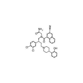 N#Cc1cc(C(=O)N(CC(N)=O)C[C@@H](CCN2CCC(c3ccccc3O)CC2)c2ccc(Cl)c(Cl)c2)c2ccccc2c1